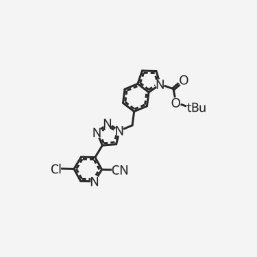 CC(C)(C)OC(=O)n1ccc2ccc(Cn3cc(-c4cc(Cl)cnc4C#N)nn3)cc21